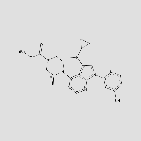 C[C@H]1CN(C(=O)OC(C)(C)C)CCN1c1ncnc2c1c(N(C)C1CC1)cn2-c1cc(C#N)ccn1